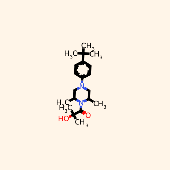 CC1CN(c2ccc(C(C)(C)C)cc2)CC(C)N1C(=O)C(C)(C)O